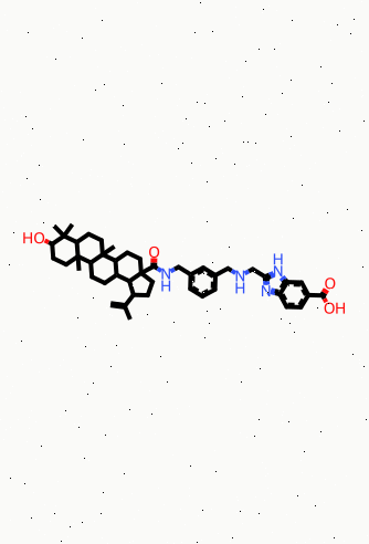 C=C(C)C1CCC2(C(=O)NCc3cccc(CNCc4nc5ccc(C(=O)O)cc5[nH]4)c3)CCC3C(CCC4C3(C)CCC3C(C)(C)C(O)CCC34C)C12